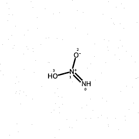 N=[N+]([O-])O